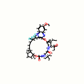 CC[C@@H]1[C@@H]2CN(C(=O)[C@H](C(C)(C)C)NC(=O)O[C@]3(C)CCC[C@H]3CCCC(F)(F)C(F)(F)c3nc4ccc(OC)cc4nc3O2)[C@@H]1C(C)=O